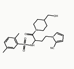 Cc1ccc(C)c(S(=O)(=O)NC(CCn2cccc2C#N)C(=O)N2CCC(CO)CC2)c1